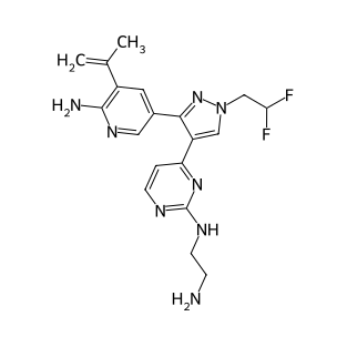 C=C(C)c1cc(-c2nn(CC(F)F)cc2-c2ccnc(NCCN)n2)cnc1N